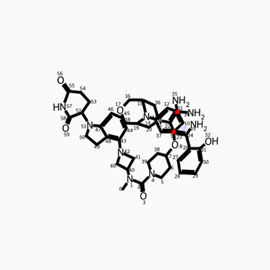 CN(C(=O)N1CCC(Oc2cccc(N3C4COCC3CN(C(/C=C(\N)c3ccccc3O)=C(N)N)C4)c2)CC1)C1CN(c2cccc3c2CCN3C2CCC(=O)NC2=O)C1